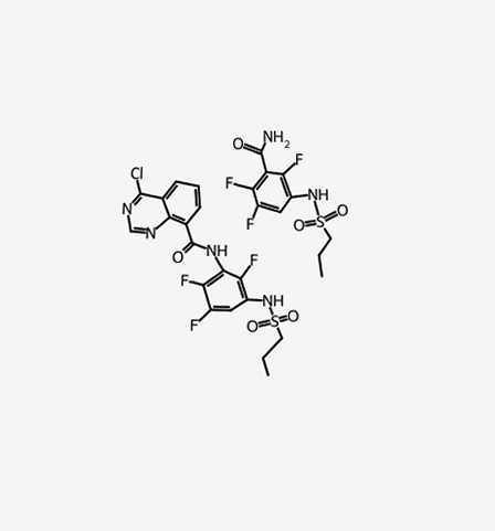 CCCS(=O)(=O)Nc1cc(F)c(F)c(C(N)=O)c1F.CCCS(=O)(=O)Nc1cc(F)c(F)c(NC(=O)c2cccc3c(Cl)ncnc23)c1F